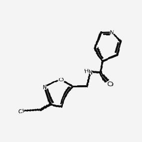 O=C(NCc1cc(CCl)no1)c1ccncc1